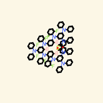 Fc1cccc(F)c1N1c2cc3c(cc2B2c4sc5ccccc5c4N(c4ccccc4)c4cc(N(c5ccccc5)c5ccccc5)cc1c42)B1c2cc4c5c(c2N(c2c(F)cccc2F)c2cc(N(c6ccccc6)c6ccccc6)cc(c21)N3c1c(F)cccc1F)c1cccc(F)c1n5-c1cc(N(c2ccccc2)c2ccccc2)cc2c1B4c1sc3ccccc3c1N2c1ccccc1